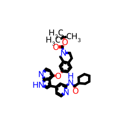 CC(C)(C)OC(=O)N1CCc2ccc(Oc3ccnc4[nH]cc(-c5ccnc(NC(=O)C6CCCCC6)c5)c34)cc2C1